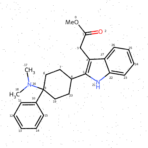 COC(=O)Cc1c(C2CCC(c3ccccc3)(N(C)C)CC2)[nH]c2ccccc12